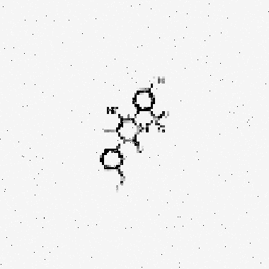 CC1=C(C#N)[C@@H](c2ccc(C#N)cc2S(=O)(=O)Cl)NC(=O)N1c1cccc(CF)c1